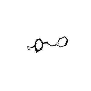 Brc1ccc(CCN2CC=CCC2)cc1